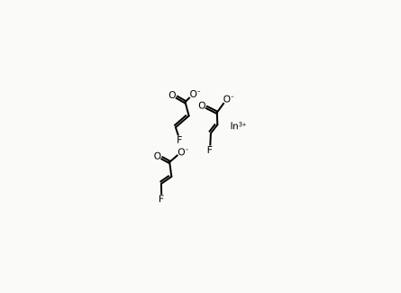 O=C([O-])/C=C/F.O=C([O-])/C=C/F.O=C([O-])/C=C/F.[In+3]